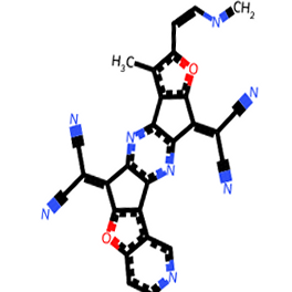 C=N/C=C\c1oc2c(c1C)-c1nc3c(nc1C2=C(C#N)C#N)-c1c(oc2ccncc12)C3=C(C#N)C#N